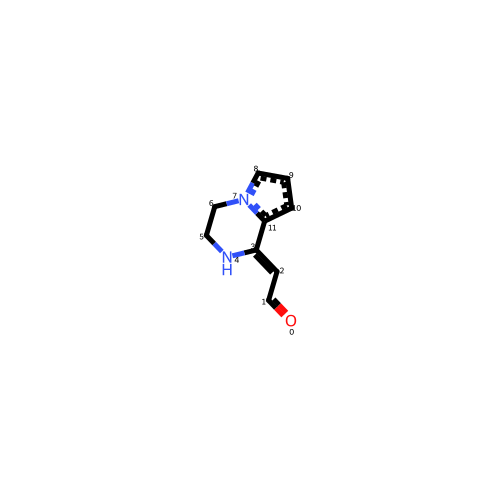 O=CC=C1NCCn2cccc21